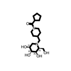 O=C(C1CCCC1)N1CCC(CN2C[C@H](O)[C@@H](O)[C@H](O)[C@@H]2CO)CC1